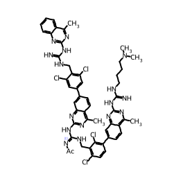 CC(=O)/N=C(\NCc1c(Cl)ccc(-c2ccc3c(C)nc(NC(=N)NCCCCN(C)C)nc3c2)c1Cl)Nc1nc(C)c2ccc(-c3cc(Cl)c(CNC(=N)Nc4nc(C)c5ccccc5n4)c(Cl)c3)cc2n1